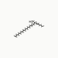 CCCCC=CO[C@@H](CO)COCCCCCCCCCCCCCCCC